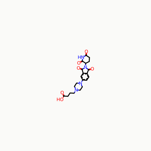 O=C(O)CCCN1CCN(c2ccc3c(c2)C(=O)N(C2CCC(=O)NC2=O)C3=O)CC1